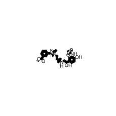 COC(=O)c1cccc(-c2nc(C)n(CCC(C)(C)NCC(O)c3ccc(O)c(NS(C)(=O)=O)c3)n2)c1